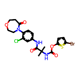 CC(C)(NC(=O)Oc1ccc(Br)s1)C(=O)Nc1ccc(N2CCOCCC2=O)c(Cl)c1